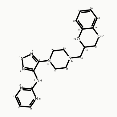 c1cnc(Nc2nsnc2N2CCN(CC3COc4ccccc4O3)CC2)nc1